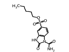 CCCCCOS(=O)(=O)c1ccc2c(c1)[nH]c(=O)n2C(N)=O